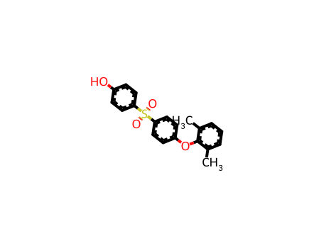 Cc1cccc(C)c1Oc1ccc(S(=O)(=O)c2ccc(O)cc2)cc1